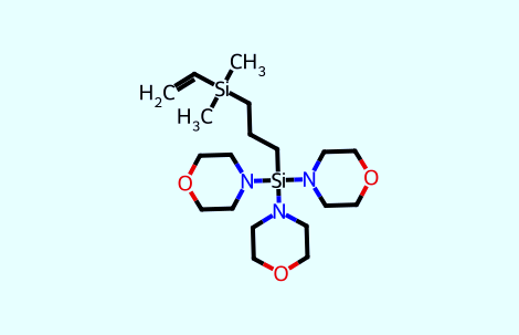 C=C[Si](C)(C)CCC[Si](N1CCOCC1)(N1CCOCC1)N1CCOCC1